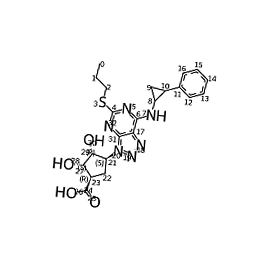 CCCSc1nc(NC2CC2c2ccccc2)c2nnn([C@H]3C[C@@H](C(=O)O)[C@H](O)[C@@H]3O)c2n1